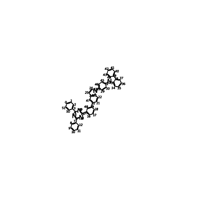 c1ccc(-c2nc(-c3ccccc3)nc(-c3cccc(-c4ccc5c(ccn5-c5ccc(-n6c7ccccc7c7ccccc76)cc5)c4)c3)n2)cc1